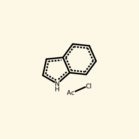 CC(=O)Cl.c1ccc2[nH]ccc2c1